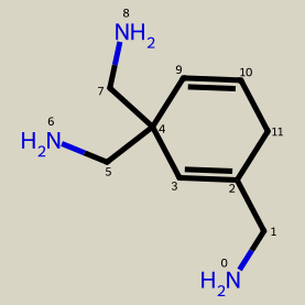 NCC1=CC(CN)(CN)C=CC1